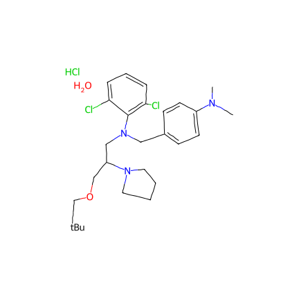 CN(C)c1ccc(CN(CC(COCC(C)(C)C)N2CCCC2)c2c(Cl)cccc2Cl)cc1.Cl.O